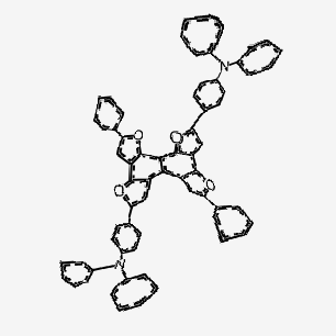 c1ccc(-c2cc3c(o2)c2cc(-c4ccc(N(c5ccccc5)c5ccccc5)cc4)oc2c2c4oc(-c5ccccc5)cc4c4oc(-c5ccc(N(c6ccccc6)c6ccccc6)cc5)cc4c32)cc1